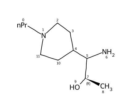 CCCN1CCC(C(N)[C@@H](C)O)CC1